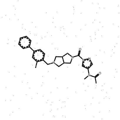 CC(=O)N(C)c1cnn(C(=O)N2CC3CN(Cc4ccc(-c5ccccc5)cc4C)CC3C2)c1